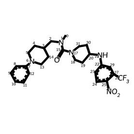 CN(CC1CCN(c2ccccc2)CC1)C(=O)N1CCC(Nc2ccc([N+](=O)[O-])c(C(F)(F)F)c2)CC1